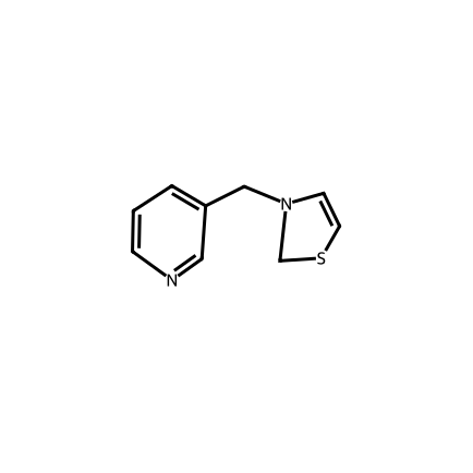 C1=CN(Cc2cccnc2)CS1